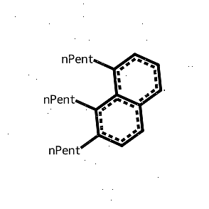 CCCCCc1ccc2[c]ccc(CCCCC)c2c1CCCCC